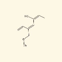 C=C/C(=C\C(C#N)=C/C)COC(C)C